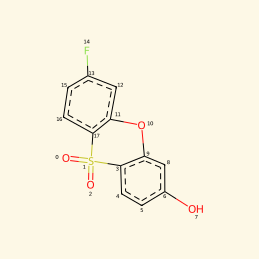 O=S1(=O)c2ccc(O)cc2Oc2cc(F)ccc21